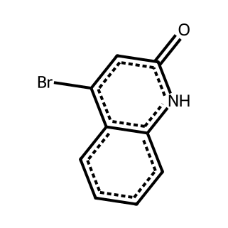 O=c1cc(Br)c2ccccc2[nH]1